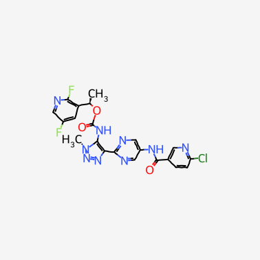 C[C@@H](OC(=O)Nc1c(-c2ncc(NC(=O)c3ccc(Cl)nc3)cn2)nnn1C)c1cc(F)cnc1F